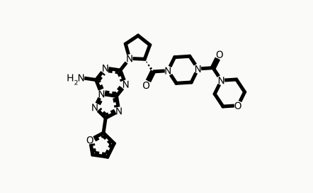 Nc1nc(N2CCC[C@@H]2C(=O)N2CCN(C(=O)N3CCOCC3)CC2)nc2nc(-c3ccco3)nn12